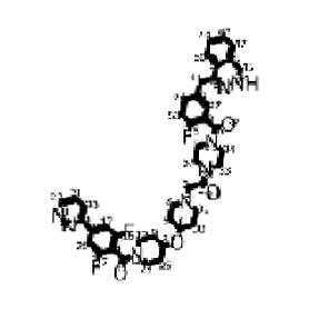 O=C(CN1CCC(OC2CCN(C(=O)c3c(F)cc(-c4cccnn4)cc3F)CC2)CC1)N1CCN(C(=O)c2cc(CC3=NNCc4ccccc43)ccc2F)CC1